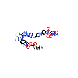 CNC(=O)COc1cc2cc(Nc3nc(N4CCCN(CC5CCN(c6ccc7c(c6)C(=O)N(C6CCC(=O)NC6=O)C7=O)CC5)CC4)ncc3Cl)ccc2n(C)c1=O